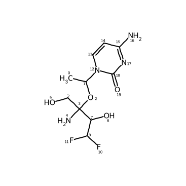 CC(OC(N)(CO)C(O)C(F)F)n1ccc(N)nc1=O